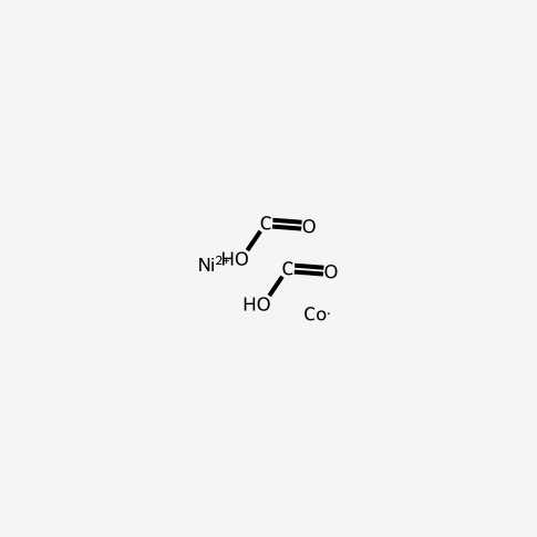 O=[C-]O.O=[C-]O.[Co].[Ni+2]